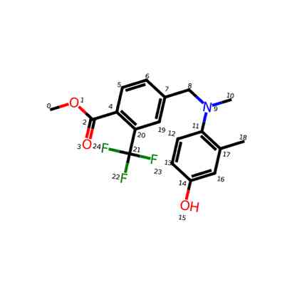 COC(=O)c1ccc(CN(C)c2ccc(O)cc2C)cc1C(F)(F)F